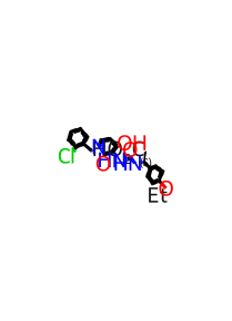 CCOc1ccc([C@H](CC(=O)O)NC(=O)Nc2c(O)ccn(Cc3ccccc3Cl)c2=O)cc1